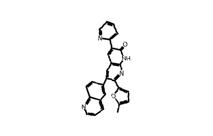 Cc1ccc(-c2nc3[nH]c(=O)c(-c4ccccn4)cc3cc2-c2ccc3ncccc3c2)o1